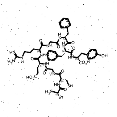 CC(C)[C@H](N)C(=O)N[C@@H](CS)C(=O)NCC(=O)N[C@@H](CCC(=O)O)C(=O)N[C@@H](CCCNC(=N)N)C(=O)NCC(=O)N[C@@H](Cc1ccccc1)C(=O)N[C@@H](Cc1ccccc1)C(=O)N[C@@H](Cc1ccc(O)cc1)C(=O)O